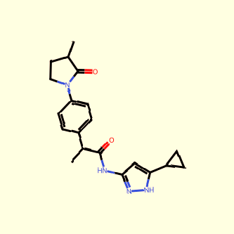 CC1CCN(c2ccc(C(C)C(=O)Nc3cc(C4CC4)[nH]n3)cc2)C1=O